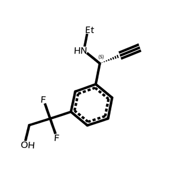 C#C[C@@H](NCC)c1cccc(C(F)(F)CO)c1